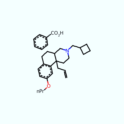 C=CCC12CCN(CC3CCC3)CC1CCc1ccc(OCCC)cc12.O=C(O)c1ccccc1